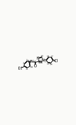 CCc1ccc(NC(=O)c2ncn(-c3ccc(Cl)cc3)n2)cc1